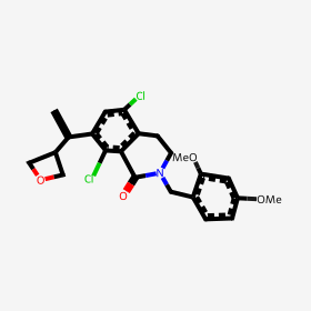 C=C(c1cc(Cl)c2c(c1Cl)C(=O)N(Cc1ccc(OC)cc1OC)CC2)C1COC1